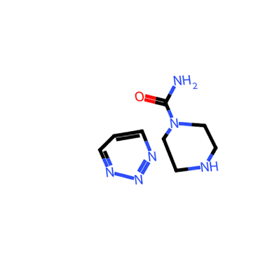 NC(=O)N1CCNCC1.c1cnnnc1